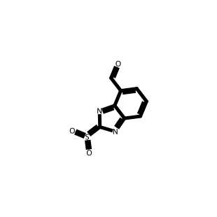 O=Cc1cccc2c1=NC(=S(=O)=O)N=2